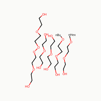 CCCCCCOCCOCCO.CCCCOCCOCCO.OCCOCCO.OCCOCCO.OCCOCCOOCCOCCO